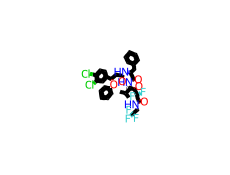 CC(C)[C@H](NC(=O)C(Cc1ccccc1)NC(=O)CC(Oc1ccccc1)c1ccc(Cl)c(Cl)c1)C(=O)C(F)(F)C(=O)NCC(F)(F)F